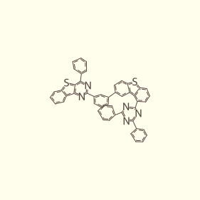 c1ccc(-c2nc(-c3ccccc3)nc(-c3cccc4sc5ccc(-c6cccc(-c7nc(-c8ccccc8)c8sc9ccccc9c8n7)c6)cc5c34)n2)cc1